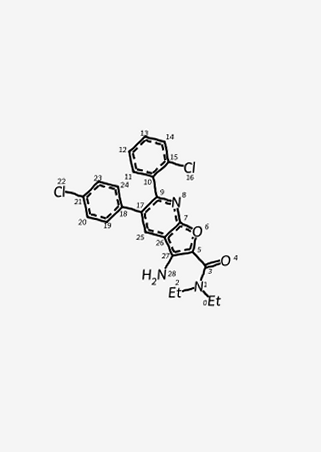 CCN(CC)C(=O)c1oc2nc(-c3ccccc3Cl)c(-c3ccc(Cl)cc3)cc2c1N